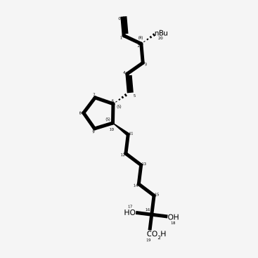 C=C[C@@H](CC=C[C@H]1CCC[C@@H]1CCCCCC(O)(O)C(=O)O)CCCC